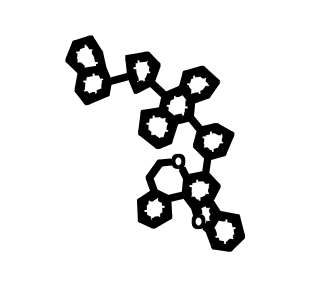 c1cc(-c2cc3c(oc4ccccc43)c3c2OCCc2ccccc2-3)cc(-c2c3ccccc3c(-c3cccc(-c4cccc5ccccc45)c3)c3ccccc23)c1